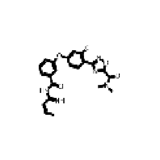 C/C=C\C(=N)NC(=O)c1cccc(Oc2ccc(-c3noc(C(=O)N(C)C)n3)c(Cl)c2)c1